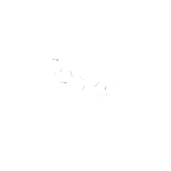 O=C(O)c1cc(NC(=O)c2c(C(F)(F)F)c(C3CC3)nn2CC2CCC2(F)F)ccn1